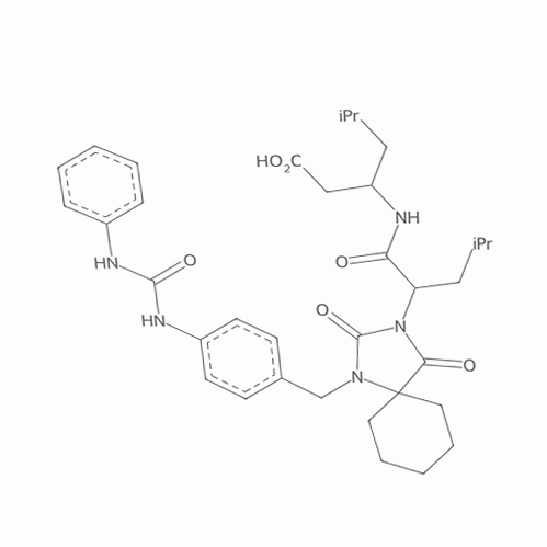 CC(C)CC(CC(=O)O)NC(=O)C(CC(C)C)N1C(=O)N(Cc2ccc(NC(=O)Nc3ccccc3)cc2)C2(CCCCC2)C1=O